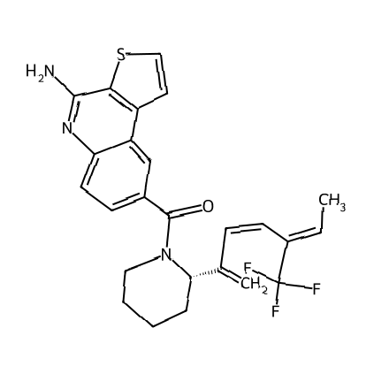 C=C(/C=C\C(=C/C)C(F)(F)F)[C@@H]1CCCCN1C(=O)c1ccc2nc(N)c3sccc3c2c1